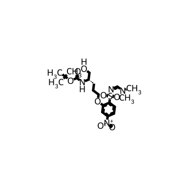 CN(C)/C=N\S(=O)(=O)c1ccc([N+](=O)[O-])cc1OCCC[C@@H](CO)NC(=O)OC(C)(C)C